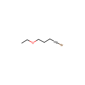 CCOCC[CH2][Hg][Br]